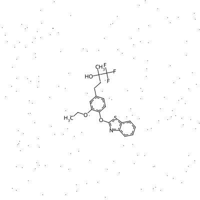 CCOc1cc(CCC(C)(O)C(F)(F)F)ccc1Oc1nc2ccccc2s1